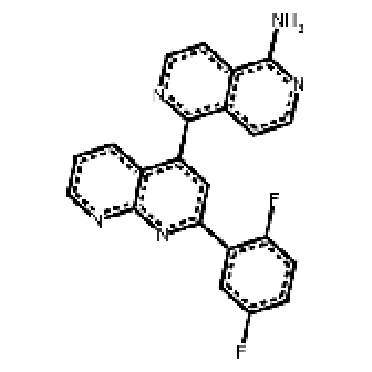 Nc1nccc2c(-c3cc(-c4cc(F)ccc4F)nc4ncccc34)nccc12